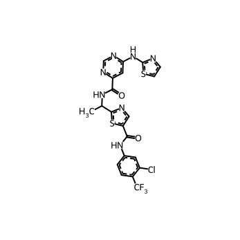 CC(NC(=O)c1cc(Nc2nccs2)ncn1)c1ncc(C(=O)Nc2ccc(C(F)(F)F)c(Cl)c2)s1